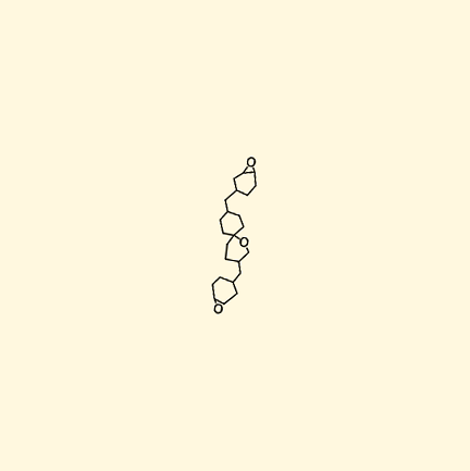 C1CC2(CCC1CC1CCC3OC3C1)CCC(CC1CCC3OC3C1)CO2